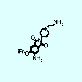 CC(C)Oc1cc2c(cc1N)C(=O)N(C1CCN(CCN)CC1)C2=O